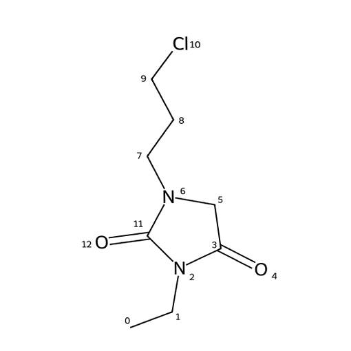 CCN1C(=O)CN(CCCCl)C1=O